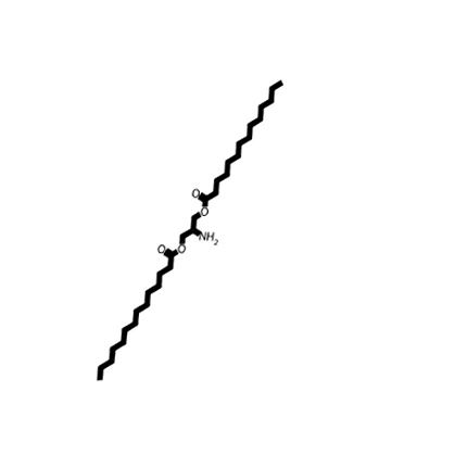 CCCCCCCCCCCCCC(=O)OCC(N)COC(=O)CCCCCCCCCCCCC